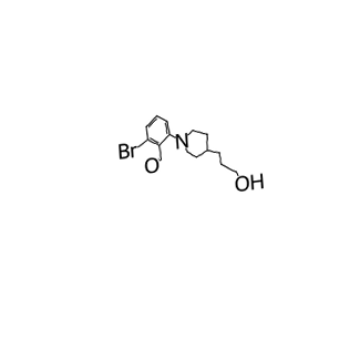 O=Cc1c(Br)cccc1N1CCC(CCCO)CC1